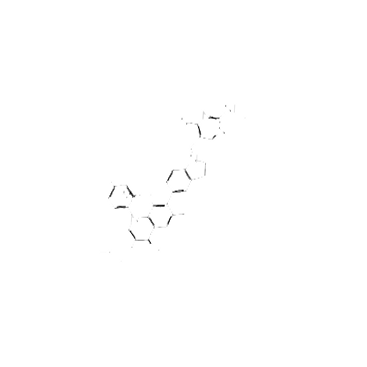 COc1c(-c2ccc3c(c2)CCN3Cc2cnc(N)nc2N)c(F)cc2c(=O)c(C(=O)O)cn(-c3ccc(F)cc3)c12